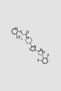 O=C(CSc1ncccc1C(F)(F)F)N1CCC(c2nc(C3=NOC(c4c(F)cccc4F)C3)cs2)CC1